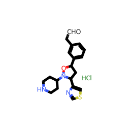 Cl.O=CCc1cccc(C2CC(c3cscn3)N(C3CCNCC3)O2)c1